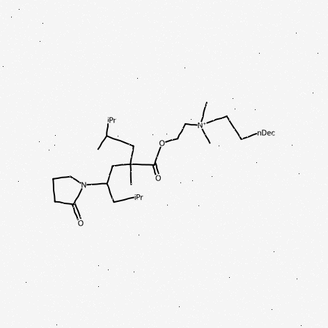 CCCCCCCCCCCC[N+](C)(C)CCOC(=O)C(C)(CC(C)C(C)C)CC(CC(C)C)N1CCCC1=O